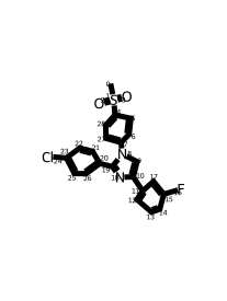 CS(=O)(=O)c1ccc(-n2cc(-c3cccc(F)c3)nc2-c2ccc(Cl)cc2)cc1